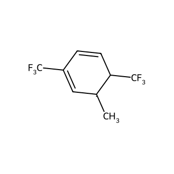 C[C]1C=C(C(F)(F)F)C=CC1C(F)(F)F